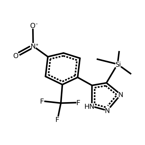 C[Si](C)(C)c1nn[nH]c1-c1ccc([N+](=O)[O-])cc1C(F)(F)F